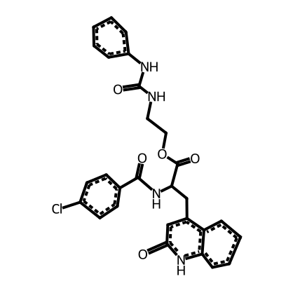 O=C(NCCOC(=O)C(Cc1cc(=O)[nH]c2ccccc12)NC(=O)c1ccc(Cl)cc1)Nc1ccccc1